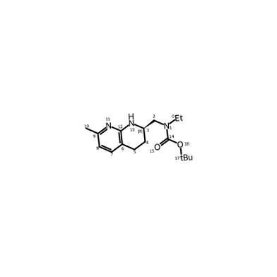 CCN(C[C@H]1CCc2ccc(C)nc2N1)C(=O)OC(C)(C)C